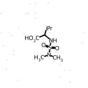 CC(C)C(NS(=O)(=O)N(C)C)C(=O)O